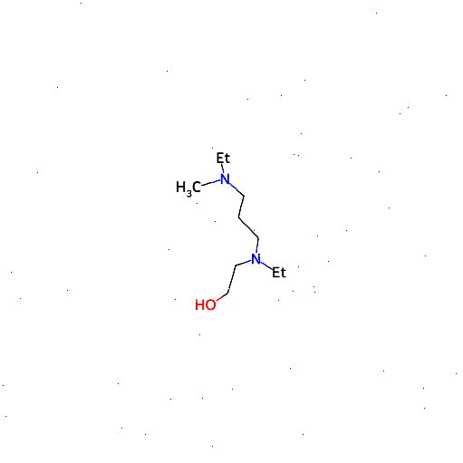 CCN(C)CCCN(CC)CCO